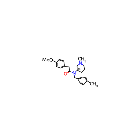 COc1ccc(CC(=O)N(Cc2ccc(C)cc2)[C@@H]2CCCN(C)C2)cc1